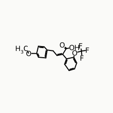 COc1ccc(CC=C(C(=O)O)c2ccccc2OC(F)(F)F)cc1